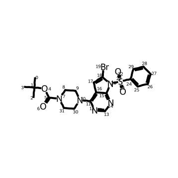 CC(C)(C)OC(=O)N1CCN(c2ncnc3c2cc(Br)n3S(=O)(=O)c2ccccc2)CC1